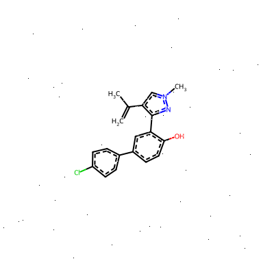 C=C(C)c1cn(C)nc1-c1cc(-c2ccc(Cl)cc2)ccc1O